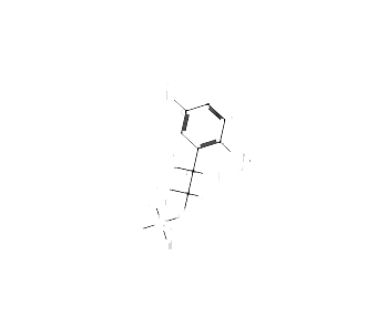 [2H]C([2H])(O[Si](C(C)C)(C(C)C)C(C)C)C([2H])([2H])c1cc(F)ccc1C#N